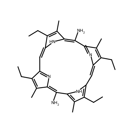 CCC1=C(C)c2nc1cc1[nH]c(c(C)c1CC)c(N)c1nc(cc3[nH]c(c(C)c3CC)c2N)C(CC)=C1C